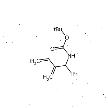 C=CC(=C)C(NC(=O)OC(C)(C)C)C(C)C